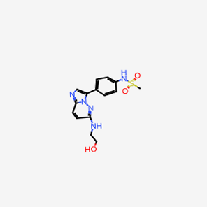 CS(=O)(=O)Nc1ccc(-c2cnc3ccc(NCCO)nn23)cc1